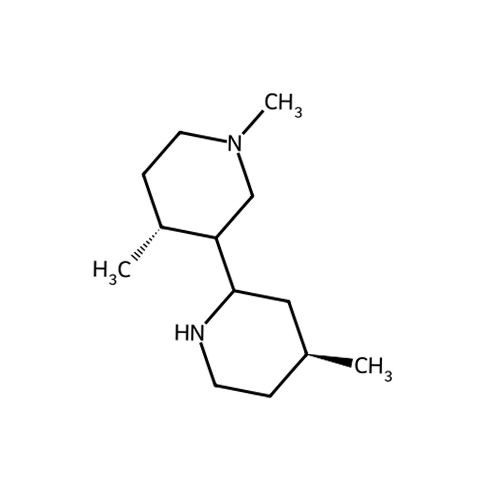 C[C@H]1CCNC(C2CN(C)CC[C@H]2C)C1